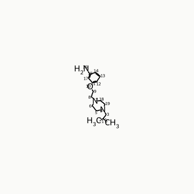 C[C](C)CN1CCN(CCOc2cccc(N)c2)CC1